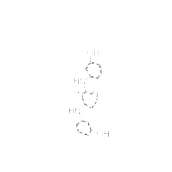 Oc1cccc(Nc2ccnc(Nc3cccc(O)c3)n2)c1